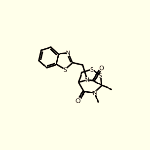 CN1C(=O)C2CSSC1(C)C(=O)N2Cc1nc2ccccc2s1